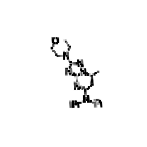 Cc1cc(N(C(C)C)C(C)C)nc2nc(N3CCOCC3)nn12